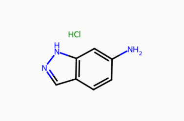 Cl.Nc1ccc2cn[nH]c2c1